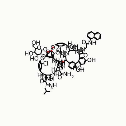 CN[C@H](CC(C)C)C(=O)N[C@H]1C(=O)N[C@@H](CC(N)=O)C(=O)NC2C(=O)N[C@H]3C(=O)N[C@H](C(=O)NC(C(=O)NCC(=O)Nc4cccc5ccccc45)c4cc(O)cc(O)c4-c4cc3ccc4O)[C@H](O)c3ccc(c(Cl)c3)Oc3cc2cc(c3O[C@@H]2O[C@H](CO)[C@@H](O)[C@H](O)[C@H]2OC2C[C@](C)(N)[C@H](O)[C@H](C)O2)Oc2ccc(cc2Cl)[C@H]1O